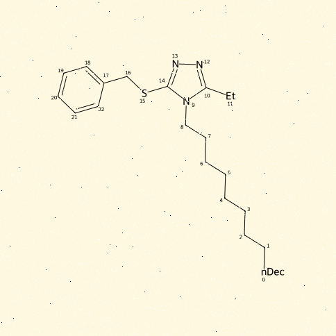 CCCCCCCCCCCCCCCCCCn1c(CC)nnc1SCc1ccccc1